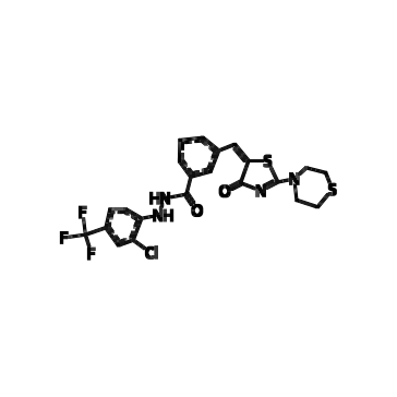 O=C1N=C(N2CCSCC2)S/C1=C/c1cccc(C(=O)NNc2ccc(C(F)(F)F)cc2Cl)c1